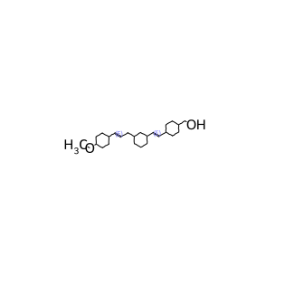 COC1CCC(/C=C/CC2CCCC(/C=C/C3CCC(CO)CC3)C2)CC1